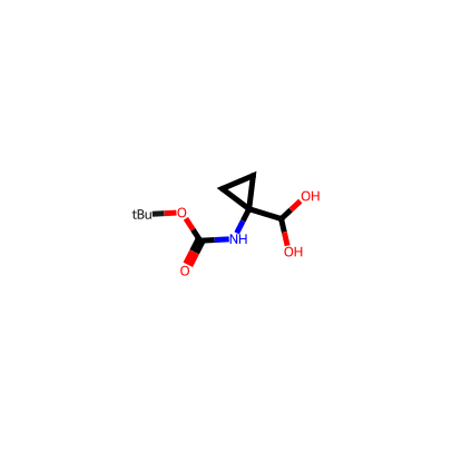 CC(C)(C)OC(=O)NC1(C(O)O)CC1